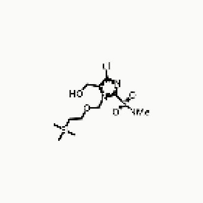 CNS(=O)(=O)c1nc(Cl)c(CO)n1COCC[Si](C)(C)C